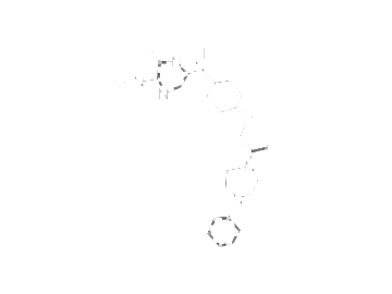 Cc1nc(NC2CCC(OCC(=O)N3CCN(c4ccccc4)CC3)CC2)cnc1[N+](=O)[O-]